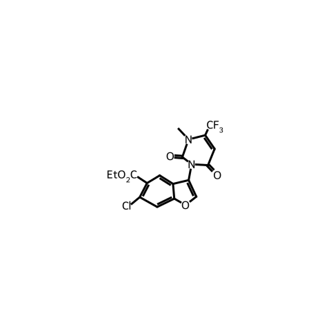 CCOC(=O)c1cc2c(-n3c(=O)cc(C(F)(F)F)n(C)c3=O)coc2cc1Cl